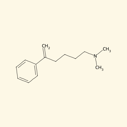 C=C(CCCCN(C)C)c1ccccc1